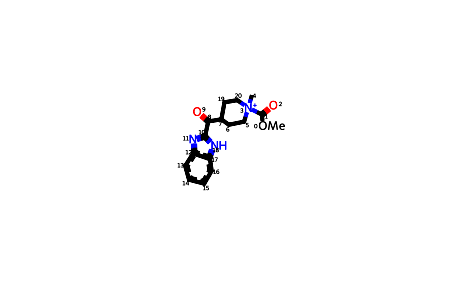 COC(=O)[N+]1(C)CCC(C(=O)c2nc3ccccc3[nH]2)CC1